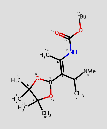 CNC(C)/C(B1OC(C)(C)C(C)(C)O1)=C(/C)NC(=O)OC(C)(C)C